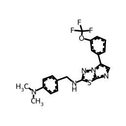 CN(C)c1ccc(CNc2nn3c(-c4cccc(OC(F)(F)F)c4)cnc3s2)cc1